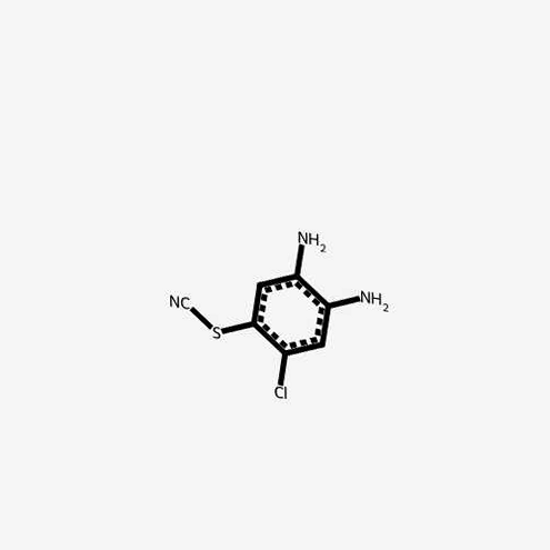 N#CSc1cc(N)c(N)cc1Cl